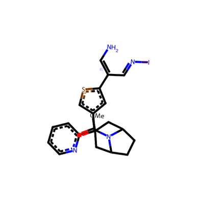 COC1(c2ccccn2)CC2CCC(C1)N2C(=O)c1csc(/C(C=NI)=C/N)c1